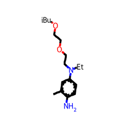 CCC(C)OCCOCCN(CC)c1ccc(N)c(C)c1